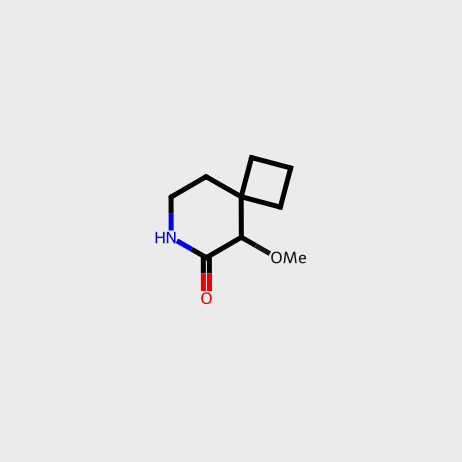 COC1C(=O)NCCC12CCC2